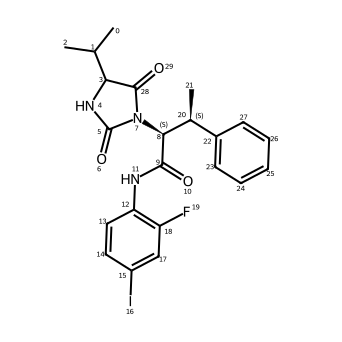 CC(C)C1NC(=O)N([C@H](C(=O)Nc2ccc(I)cc2F)[C@@H](C)c2ccccc2)C1=O